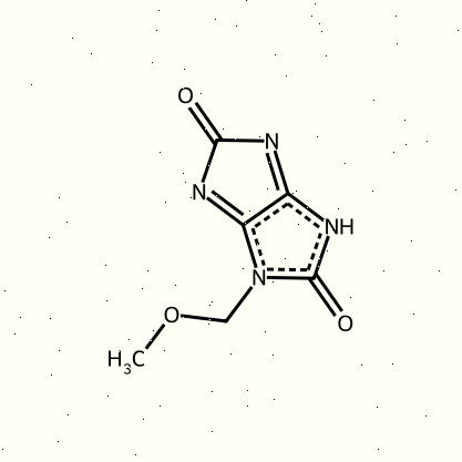 COCn1c(=O)[nH]c2c1=NC(=O)N=2